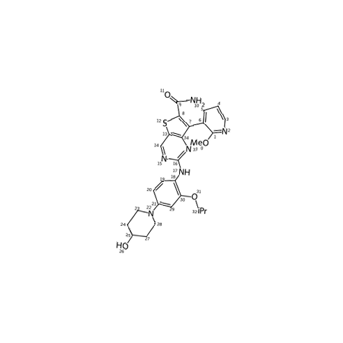 COc1ncccc1-c1c(C(N)=O)sc2cnc(Nc3ccc(N4CCC(O)CC4)cc3OC(C)C)nc12